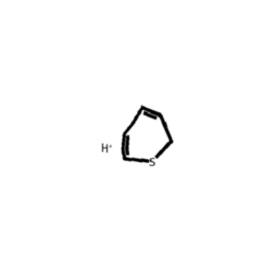 C1=CCSC=C1.[H+]